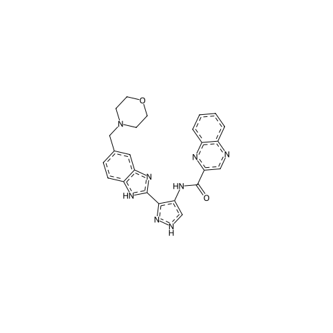 O=C(Nc1c[nH]nc1-c1nc2cc(CN3CCOCC3)ccc2[nH]1)c1cnc2ccccc2n1